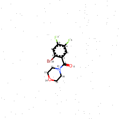 O=C(c1cc(F)c(F)cc1Br)N1CCOCC1